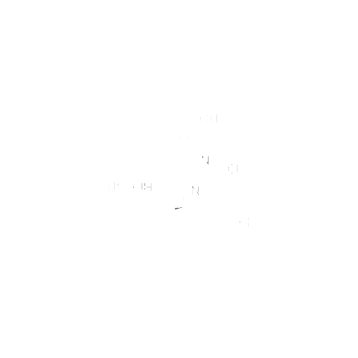 CC1CN([C@H](c2ccccc2)c2cccc(Cl)c2)CCN1CC(=O)O.Cl.Cl